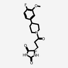 COc1cc(C2CCN(C(=O)CC[C@H]3NC(=O)NC3=O)CC2)ccc1F